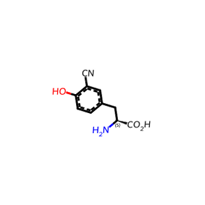 N#Cc1cc(C[C@H](N)C(=O)O)ccc1O